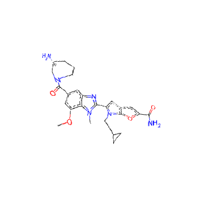 COc1cc(C(=O)N2CCC[C@@H](N)C2)cc2nc(-c3cc4cc(C(N)=O)oc4n3CC3CC3)n(C)c12